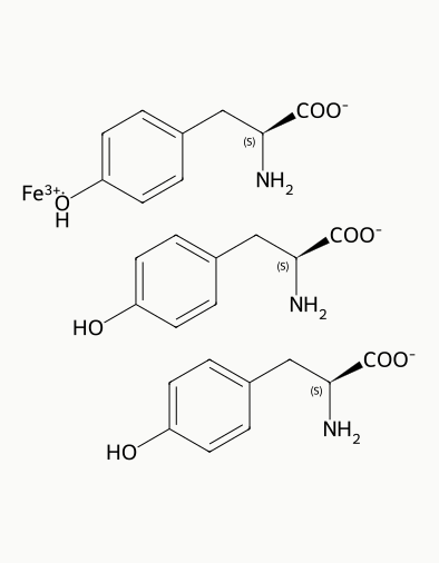 N[C@@H](Cc1ccc(O)cc1)C(=O)[O-].N[C@@H](Cc1ccc(O)cc1)C(=O)[O-].N[C@@H](Cc1ccc(O)cc1)C(=O)[O-].[Fe+3]